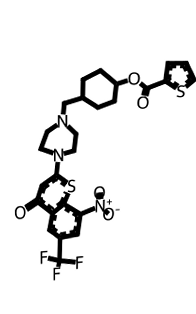 O=C(OC1CCC(CN2CCN(c3cc(=O)c4cc(C(F)(F)F)cc([N+](=O)[O-])c4s3)CC2)CC1)c1cccs1